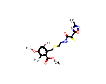 COC(=O)c1c(C)c(OC)cc(O)c1CSCCNC(=O)C(=S)c1nc(C)no1